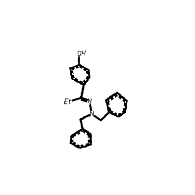 CCC(=NN(Cc1ccccc1)Cc1ccccc1)c1ccc(O)cc1